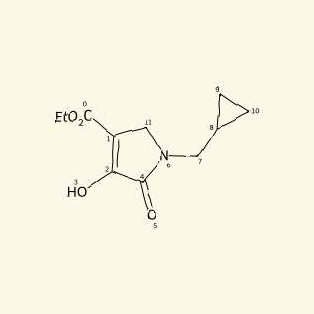 CCOC(=O)C1=C(O)C(=O)N(CC2CC2)C1